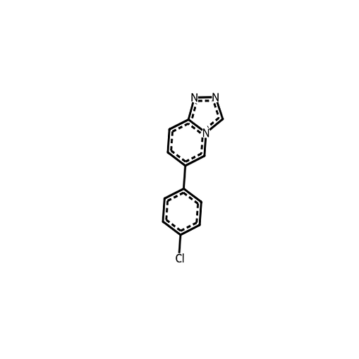 Clc1ccc(-c2ccc3nncn3c2)cc1